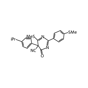 CSC1=NC(c2ccc(SC)cc2)=NC(=O)C1(C#N)c1ccc(C(C)C)cc1